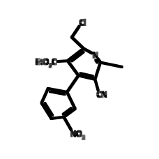 CCOC(=O)c1c(CCl)nc(C)c(C#N)c1-c1cccc([N+](=O)[O-])c1